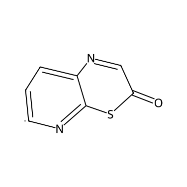 O=c1cnc2cc[c]nc2s1